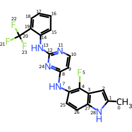 Cc1cc2c(F)c(Nc3ccnc(Nc4ccccc4C(F)(F)F)n3)ccc2[nH]1